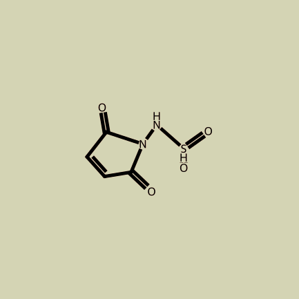 O=C1C=CC(=O)N1N[SH](=O)=O